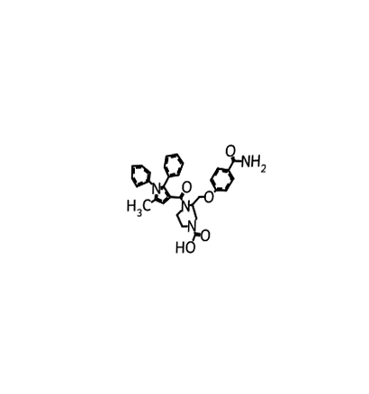 Cc1cc(C(=O)N2CCN(C(=O)O)CC2COc2ccc(C(N)=O)cc2)c(-c2ccccc2)n1-c1ccccc1